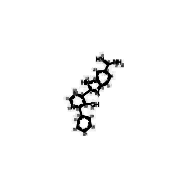 N=C(N)c1ccc2nc(-c3ncnc(-c4ccccc4)c3O)[nH]c2c1